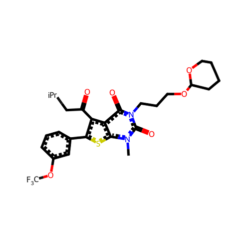 CC(C)CC(=O)c1c(-c2cccc(OC(F)(F)F)c2)sc2c1c(=O)n(CCCOC1CCCCO1)c(=O)n2C